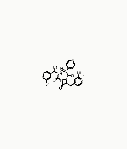 CC[C@@H](NC(=O)N1C(=O)[C@H](Cc2ccnc(N)c2)[C@H]1C(=O)N(C)c1ccncc1)c1cccc(Br)c1